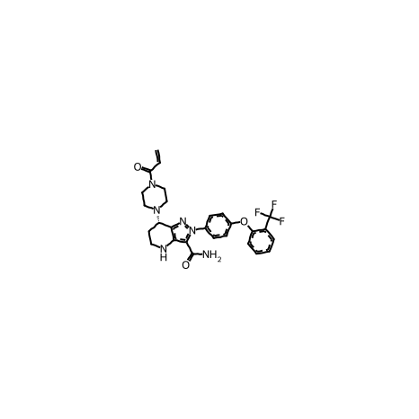 C=CC(=O)N1CCN([C@H]2CCNc3c2nn(-c2ccc(Oc4ccccc4C(F)(F)F)cc2)c3C(N)=O)CC1